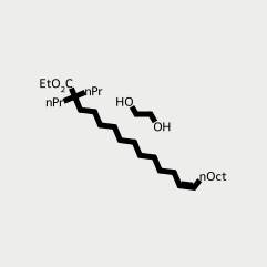 CCCCCCCC/C=C\CCCCCCCCCCC(CCC)(CCC)C(=O)OCC.OCCO